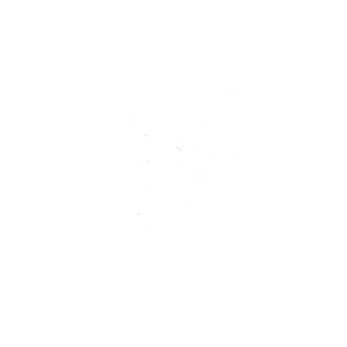 O=C(O)c1cccc(N(Cc2ccccc2)S(=O)(=O)c2ccc(F)cc2)c1